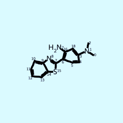 CN(C)c1ccc(-c2nc3ccccc3s2)c(N)c1